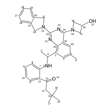 Cc1cc(C(C)Nc2ccccc2C(=O)CC(C)(C)C)c2nc(N3Cc4ccccc4C3)nc(N3CC(O)C3)c2c1